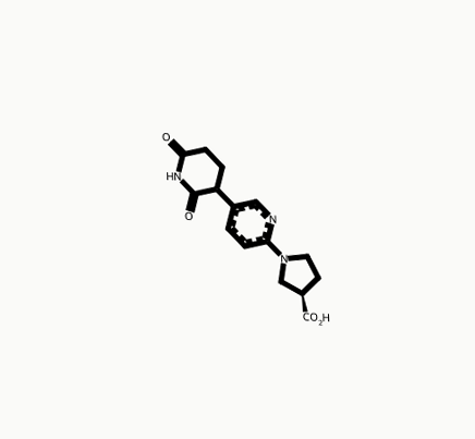 O=C1CCC(c2ccc(N3CC[C@@H](C(=O)O)C3)nc2)C(=O)N1